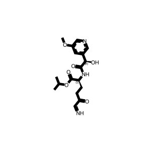 COc1cncc([C@@H](O)C(=O)N[C@@H](CCC(=O)C=N)C(=O)OC(C)C)c1